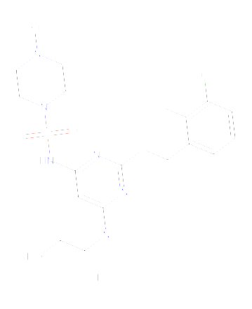 C[C@H](CO)Nc1cc(NS(=O)(=O)N2CCN(C)CC2)nc(SCc2cccc(Cl)c2F)n1